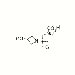 O=C(O)NCC1(N2CC(O)C2)COC1